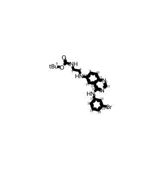 CC(C)(C)OC(=O)NCCNc1ccc2ncnc(Nc3cccc(Br)c3)c2c1